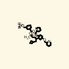 CC(C)(Cc1c(CC2CCC2)c2cc(OCc3ccccn3)ccc2n1Cc1ccccn1)OC(=O)c1cccc(CO[N+](=O)[O-])c1